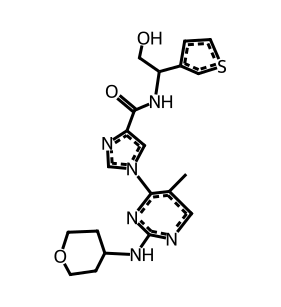 Cc1cnc(NC2CCOCC2)nc1-n1cnc(C(=O)NC(CO)c2ccsc2)c1